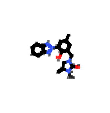 C=C1CN(Cc2cc(C)cc(-n3nc4ccccc4n3)c2O)C(=O)N1C(C)(C)C